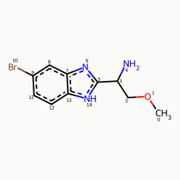 COCC(N)c1nc2cc(Br)ccc2[nH]1